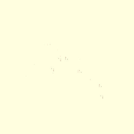 O=C(NCCCn1ccnc1)c1cc2nc(-c3ccccc3)cc(C3CCCCO3)n2n1